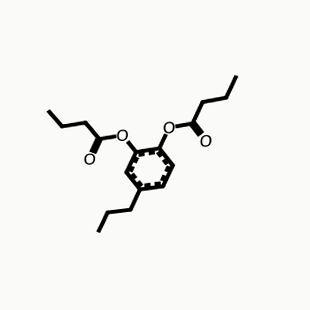 CCCC(=O)Oc1ccc(CCC)cc1OC(=O)CCC